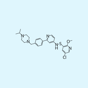 COc1ncc(Cl)cc1SNc1ccnc(-c2ccc(CN3CCN(C(C)C)CC3)cc2)c1